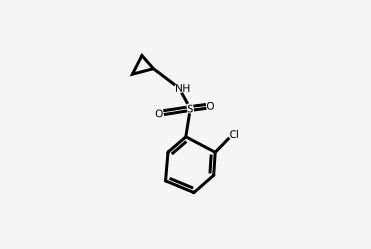 O=S(=O)(NC1CC1)c1ccccc1Cl